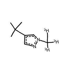 [2H]C([2H])([2H])n1cc(C(C)(C)C)cn1